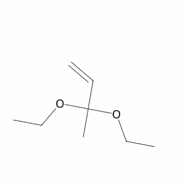 C=CC(C)(OCC)OCC